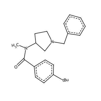 CN(C(=O)c1ccc(C(C)(C)C)cc1)C1CCN(Cc2ccccc2)C1